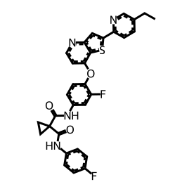 CCc1ccc(-c2cc3nccc(Oc4ccc(NC(=O)C5(C(=O)Nc6ccc(F)cc6)CC5)cc4F)c3s2)nc1